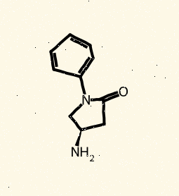 N[C@@H]1CC(=O)N(c2ccccc2)C1